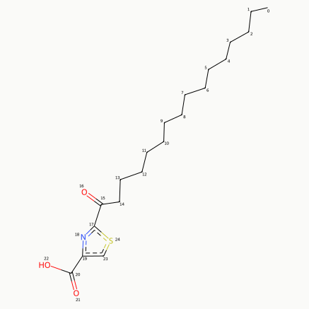 CCCCCCCCCCCCCCCC(=O)c1nc(C(=O)O)cs1